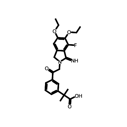 CCOc1cc2c(c(F)c1OCC)C(=N)N(CC(=O)c1cccc(C(C)(C)C(=O)O)c1)C2